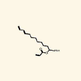 C=CC=CCCCCCCCC(CCCCCC)OC(=O)C=C